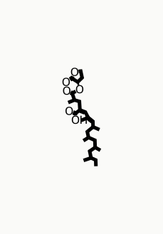 CCC(C)CC(C)CC(C)CC(C)/C=C(C)/C=C(/CC(C)C(=O)O[C@@H]1CCOC1=O)C(=O)O